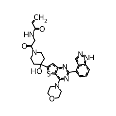 C=CC(=O)NCC(=O)N1CCC(O)(c2cc3nc(-c4cccc5[nH]ncc45)nc(N4CCOCC4)c3s2)CC1